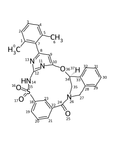 Cc1cccc(C)c1-c1cc2nc(n1)NS(=O)(=O)c1cccc(c1)C(=O)N1Cc3ccccc3[C@@H](C1)O2